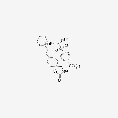 CCCN(CCC)S(=O)(=O)c1ccc(C(=O)O)cc1.O=C1NCC2(CCN(CCc3ccccc3)CC2)O1